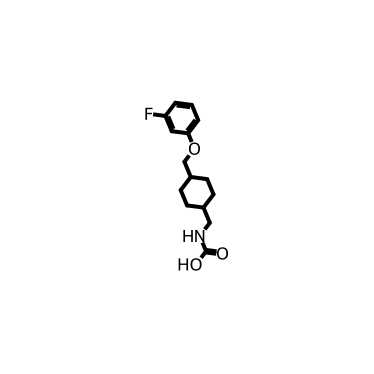 O=C(O)NCC1CCC(COc2cccc(F)c2)CC1